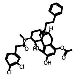 CC(=O)Oc1cc(O)c2c3c1C[C@@H]1[C@@H]4CC[C@H](N(C)C(=O)Cc5ccc(Cl)c(Cl)c5)[C@H](O2)[C@]34CCN1CCc1ccccc1